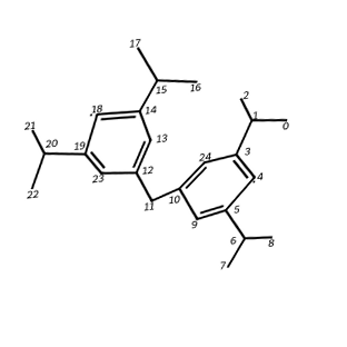 CC(C)c1[c]c(C(C)C)cc(Cc2cc(C(C)C)[c]c(C(C)C)c2)c1